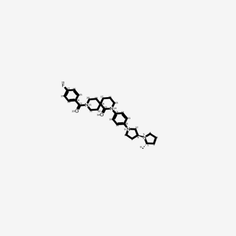 C[C@H]1CCCN1[C@H]1CCN(c2ccc(N3CCCC4(CCN(C(=O)c5ccc(F)cc5)CC4)C3=O)cc2)C1